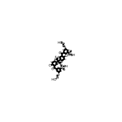 O=C(c1cc(SOOO)cc(S(=O)(=O)O)c1)c1cc(C(c2ccc(Cl)c(C(=O)c3cc(SOOO)cc(S(=O)(=O)O)c3)c2)(C(F)(F)F)C(F)(F)F)ccc1Cl